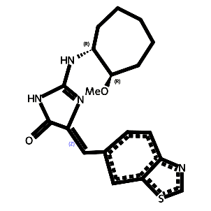 CO[C@@H]1CCCCC[C@H]1NC1=N/C(=C\c2ccc3ncsc3c2)C(=O)N1